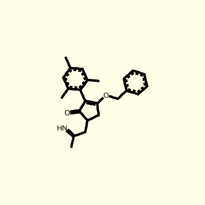 CC(=N)CC1CC(OCc2ccccc2)=C(c2c(C)cc(C)cc2C)C1=O